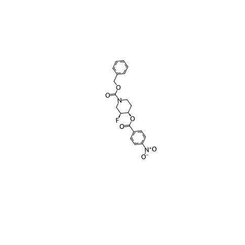 O=C(O[C@@H]1CCN(C(=O)OCc2ccccc2)C[C@@H]1F)c1ccc([N+](=O)[O-])cc1